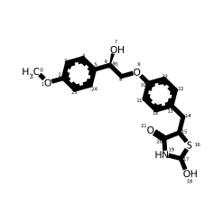 COc1ccc([C@@H](O)COc2ccc(CC3SC(O)NC3=O)cc2)cc1